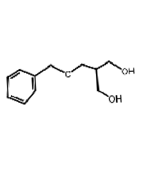 OCC(CO)COCc1ccccc1